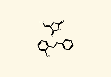 N#Cc1ccccc1COc1ccccc1.O=C1NC(=S)SC1=CO